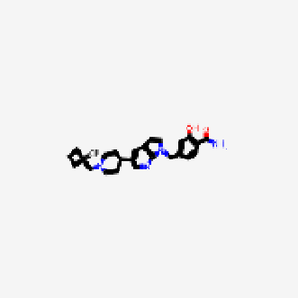 NC(=O)c1ccc(Cn2ccc3cc(C4CCN(CC5(C(F)(F)F)CCC5)CC4)cnc32)cc1O